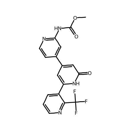 COC(=O)Nc1cc(-c2cc(-c3cccnc3C(F)(F)F)[nH]c(=O)c2)ccn1